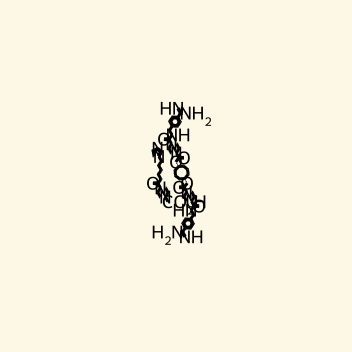 N=C(N)c1ccc(CNC(=O)N2CCN(C(=O)O[C@H]3CCC[C@@H](OC(=O)N4CCN(C(=O)NCc5ccc(C(=N)N)cc5)CC4)CCC3)CC2)cc1.O=C(O)N1CCN(C(=O)CCCCCn2ccnc2)CC1